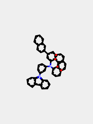 c1ccc(-c2ccccc2N(c2cccc(-n3c4ccccc4c4ccccc43)c2)c2cc(-c3ccc4ccccc4c3)ccc2-c2ccccc2)cc1